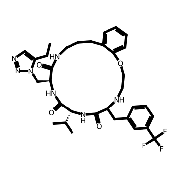 CCc1cnnn1C[C@@H]1NC(=O)[C@@H](C(C)C)NC(=O)C(Cc2cccc(C(F)(F)F)c2)NCCOc2ccccc2CCCNC1=O